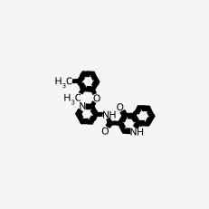 Cc1cccc(Oc2ncccc2NC(=O)c2c[nH]c3ccccc3c2=O)c1C